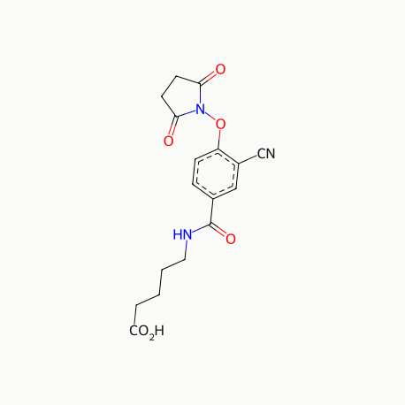 N#Cc1cc(C(=O)NCCCCC(=O)O)ccc1ON1C(=O)CCC1=O